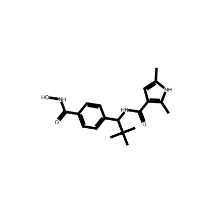 Cc1cc(C(=O)NC(c2ccc(C(=O)NO)cc2)C(C)(C)C)c(C)[nH]1